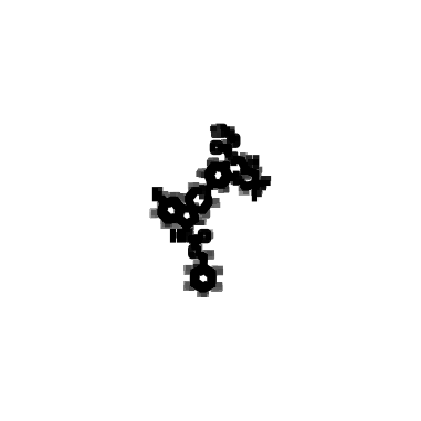 CC(C)(C)OC(=O)N1C[C@@H]2CC(F)(F)CN2c2cc(N3CCC4(CC3)CC(NC(=O)OCc3ccccc3)c3ccc(F)cc34)ccc21